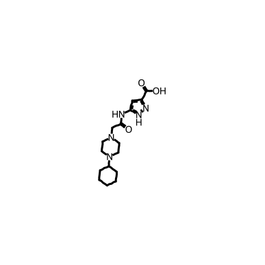 O=C(CN1CCN(C2CCCCC2)CC1)Nc1cc(C(=O)O)n[nH]1